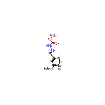 COc1cc(/C=N/NC(=O)OC(C)(C)C)ccc1F